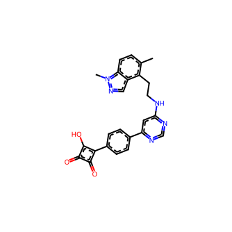 Cc1ccc2c(cnn2C)c1CCNc1cc(-c2ccc(-c3c(O)c(=O)c3=O)cc2)ncn1